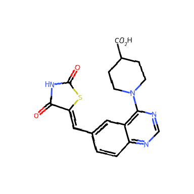 O=C1NC(=O)C(=Cc2ccc3ncnc(N4CCC(C(=O)O)CC4)c3c2)S1